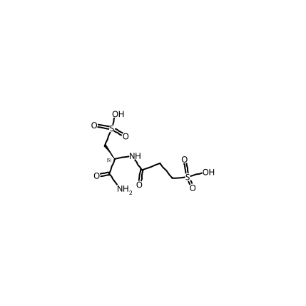 NC(=O)[C@@H](CS(=O)(=O)O)NC(=O)CCS(=O)(=O)O